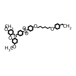 C=Cc1ccc(OCCCCCCOc2ccc(S(=O)(=O)c3ccc(N4c5ccc(OC)cc5Oc5cc(OC)ccc54)cc3)cc2)cc1